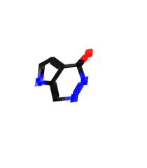 O=C1N=NC=C2N=CC=C12